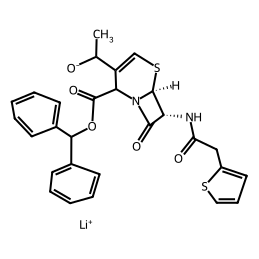 CC([O-])C1=CS[C@H]2[C@H](NC(=O)Cc3cccs3)C(=O)N2C1C(=O)OC(c1ccccc1)c1ccccc1.[Li+]